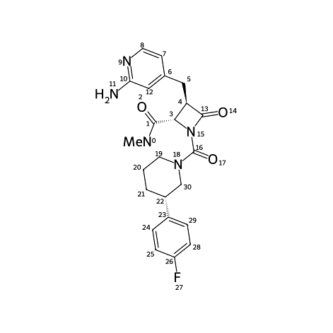 CNC(=O)[C@@H]1[C@@H](Cc2ccnc(N)c2)C(=O)N1C(=O)N1CCC[C@@H](c2ccc(F)cc2)C1